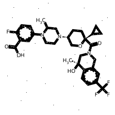 CC1CN([C@@H]2CC[C@@](C(=O)N3Cc4cc(C(F)(F)F)ccc4[C@@](C)(O)C3)(C3CC3)OC2)CCN1c1ccc(F)c(C(=O)O)c1